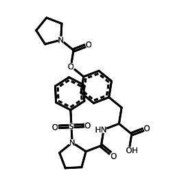 O=C(O)C(Cc1ccc(OC(=O)N2CCCC2)cc1)NC(=O)C1CCCN1S(=O)(=O)c1ccccc1